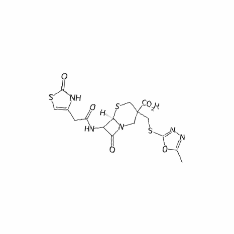 Cc1nnc(SCC2(C(=O)O)CS[C@@H]3C(NC(=O)Cc4csc(=O)[nH]4)C(=O)N3C2)o1